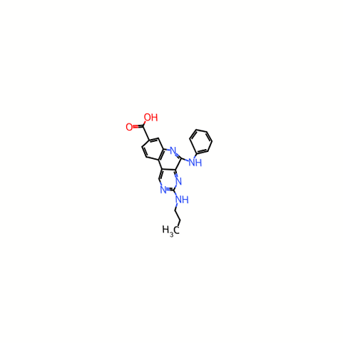 CCCNc1ncc2c(n1)c(Nc1ccccc1)nc1cc(C(=O)O)ccc12